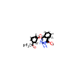 CC(=O)c1cccc(Oc2n[nH]c(=O)c3ccccc23)c1